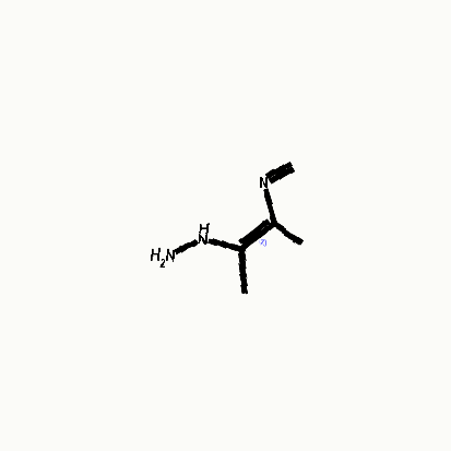 C=N/C(C)=C(/C)NN